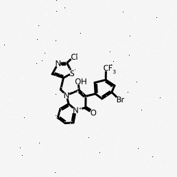 O=c1c(-c2cc(Br)cc(C(F)(F)F)c2)c(O)n(Cc2cnc(Cl)s2)c2cccc[n+]12